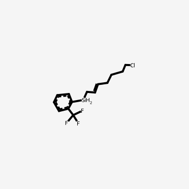 FC(F)(F)c1ccccc1[SiH2]CC=CCCCCCl